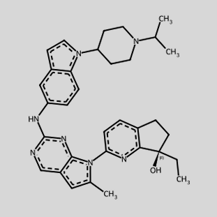 CC[C@@]1(O)CCc2ccc(-n3c(C)cc4cnc(Nc5ccc6c(ccn6C6CCN(C(C)C)CC6)c5)nc43)nc21